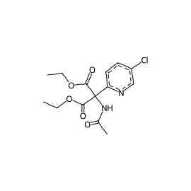 CCOC(=O)C(NC(C)=O)(C(=O)OCC)c1ccc(Cl)cn1